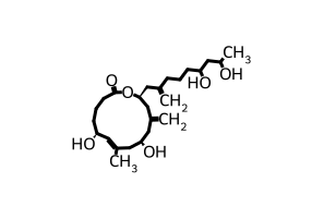 C=C(CCCC(O)CC(C)O)C[C@H]1CC(=C)C[C@@H](O)C/C(C)=C/[C@H](O)CCCC(=O)O1